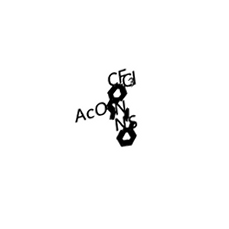 CC(=O)Oc1c(C)n(Cc2nc3ccccc3s2)c2cc(Cl)c(C(F)(F)F)cc12